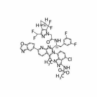 Cn1nc(NS(C)(=O)=O)c2c(Cl)ccc(-n3c([C@H](Cc4cc(F)cc(F)c4)NC(=O)Cn4nc(C(F)F)c5c4C(F)(F)[C@@H]4C[C@H]54)nc4nc(-c5ccc6ocnc6c5)ccc4c3=O)c21